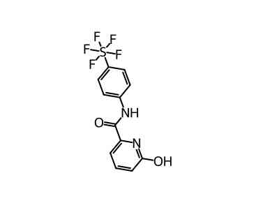 O=C(Nc1ccc(S(F)(F)(F)(F)F)cc1)c1cccc(O)n1